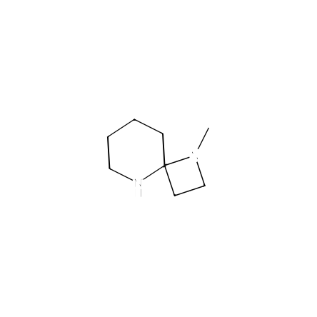 CN1CCC12CCCCN2